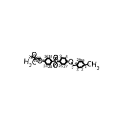 Cc1ccc(COc2ccc(S(=O)(=O)c3ccc(OCC4(C)CO4)cc3)cc2)cc1